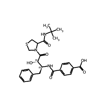 CC(C)(C)NC(=O)C1CSCN1C(=O)[C@@H](O)[C@H](Cc1ccccc1)NC(=O)c1ccc(C(=O)O)cc1